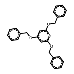 c1ccc(COc2cc(OCc3ccccc3)nc(OCc3ccccc3)c2)cc1